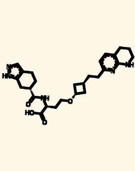 O=C(N[C@@H](CCO[C@H]1C[C@H](CCc2ccc3c(n2)NCCC3)C1)C(=O)O)[C@H]1CCc2cn[nH]c2C1